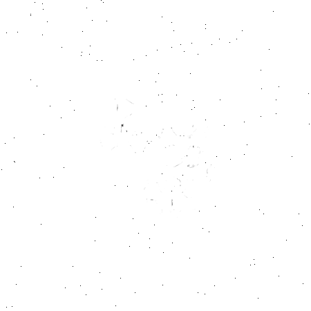 c1ccc(-n2c3ccccc3c3ccc(-c4ccc5c(c4)C(c4ccc(-c6cccc7c6-c6ccccc6C7)c6ccccc46)c4ccccc4-5)cc32)cc1